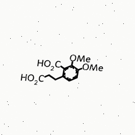 COc1ccc(CCC(=O)O)c(C(=O)O)c1OC